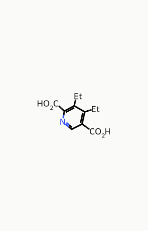 CCc1c(C(=O)O)cnc(C(=O)O)c1CC